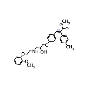 COC(=O)/C(=C/c1ccc(OCC(O)CNCCOc2ccccc2OC)cc1)c1ccc(C)cc1